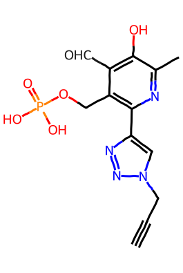 C#CCn1cc(-c2nc(C)c(O)c(C=O)c2COP(=O)(O)O)nn1